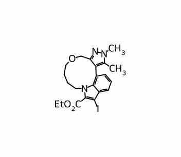 CCOC(=O)c1c(I)c2cccc3c2n1CCCCOCc1nn(C)c(C)c1-3